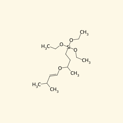 CCO[Si](CCC(C)OC=CC(C)C)(OCC)OCC